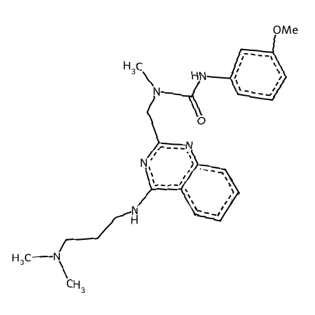 COc1cccc(NC(=O)N(C)Cc2nc(NCCCN(C)C)c3ccccc3n2)c1